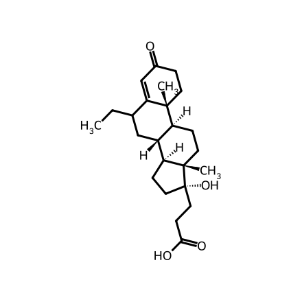 CCC1C[C@@H]2[C@H](CC[C@@]3(C)[C@H]2CC[C@]3(O)CCC(=O)O)[C@@]2(C)CCC(=O)C=C12